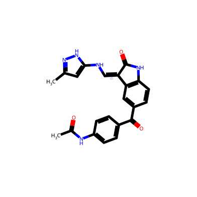 CC(=O)Nc1ccc(C(=O)c2ccc3c(c2)/C(=C/Nc2cc(C)n[nH]2)C(=O)N3)cc1